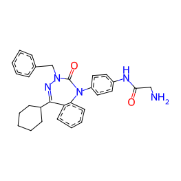 NCC(=O)Nc1ccc(N2C(=O)N(Cc3ccccc3)N=C(C3CCCCC3)c3ccccc32)cc1